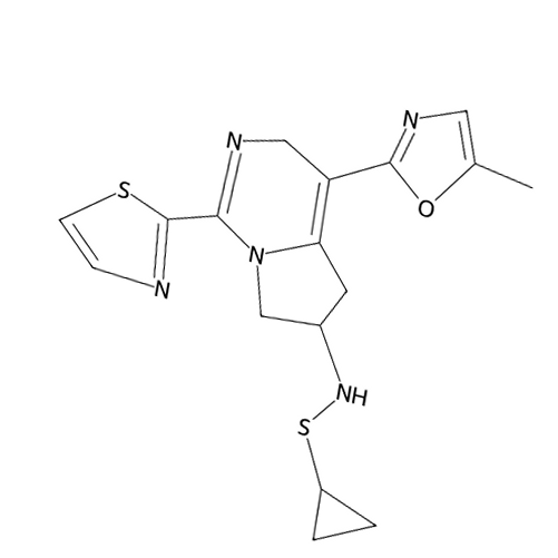 Cc1cnc(C2=C3CC(NSC4CC4)CN3C(c3nccs3)=NC2)o1